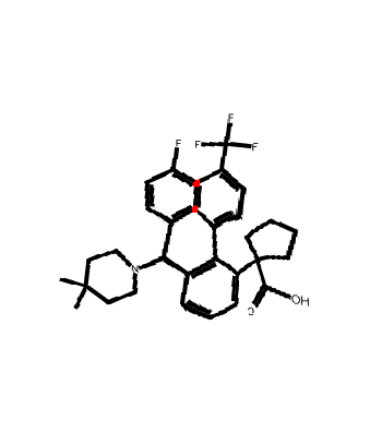 CC1(C)CCN(C(c2ccc(F)cc2)c2cccc(C3(C(=O)O)CCCC3)c2-c2ccc(C(F)(F)F)cc2)CC1